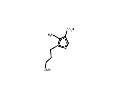 COCCCn1ncc(C(=O)O)c1N